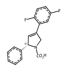 O=C(O)N1CC(c2cc(F)ccc2F)=C[C@H]1c1ccccc1